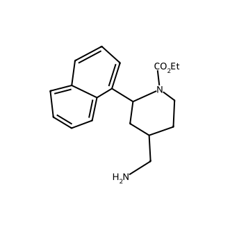 CCOC(=O)N1CCC(CN)CC1c1cccc2ccccc12